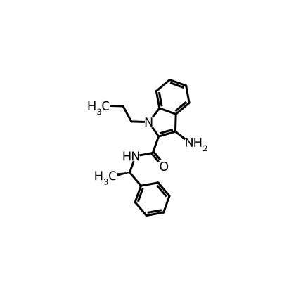 CCCn1c(C(=O)N[C@H](C)c2ccccc2)c(N)c2ccccc21